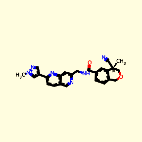 Cn1cc(-c2ccc3cnc(CNC(=O)c4ccc5c(c4)[C@](C)(C#N)COC5)cc3n2)cn1